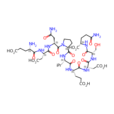 CC(C)[C@H](NC(=O)[C@@H]1CCCN1C(=O)[C@H](CC(N)=O)NC(=O)[C@H](CC(=O)O)NC(=O)[C@@H](N)CCC(=O)O)C(=O)N[C@@H](CCC(=O)O)C(=O)N[C@@H](CC(=O)O)C(=O)N[C@@H](CO)C(=O)N[C@@H](CCC(N)=O)C(=O)O